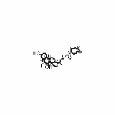 CC[C@H]1[C@@H](O)[C@@H]2[C@H](CC[C@]3(C)[C@@H]([C@H](C)CCOC(=O)NC4CCS(=O)(=O)CC4)CC[C@@H]23)[C@@]2(C)CC[C@@H](O)C[C@@H]12